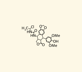 COc1cc(C2c3cc4c(cc3C(NC(=O)NC(C)Cl)C3COC(=O)C23)OCO4)cc(OC)c1O